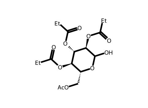 CCC(=O)O[C@H]1[C@H](OC(=O)CC)[C@@H](OC(=O)CC)C(O)O[C@@H]1COC(C)=O